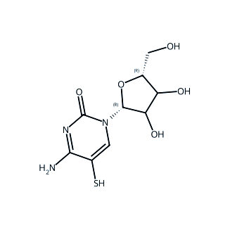 Nc1nc(=O)n([C@@H]2O[C@H](CO)C(O)C2O)cc1S